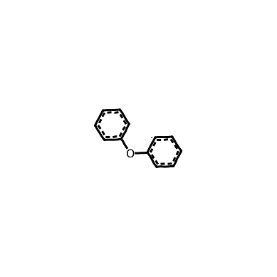 [c]1ccccc1Oc1ccccc1